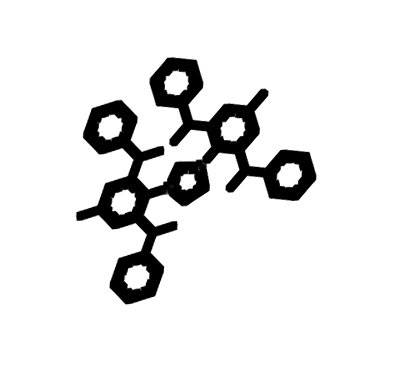 Cc1cc(C(C)c2ccccc2)c(-n2cc[n+](-c3c(C(C)c4ccccc4)cc(C)cc3C(C)c3ccccc3)c2)c(C(C)c2ccccc2)c1